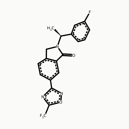 C[C@@H](c1cccc(F)c1)N1Cc2ccc(-c3noc(C(F)(F)F)n3)cc2C1=O